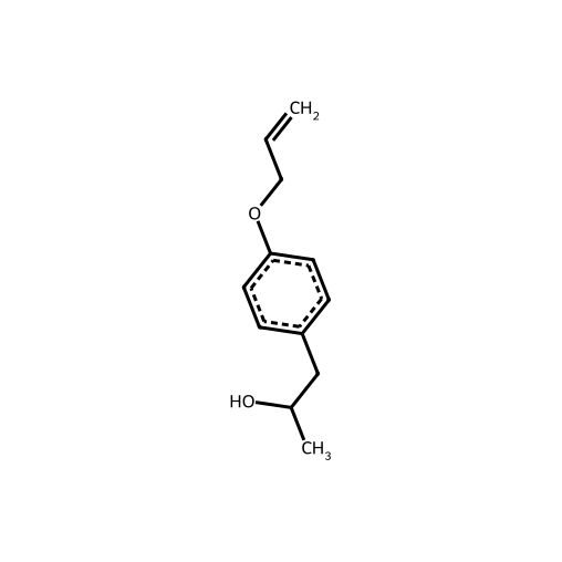 C=CCOc1ccc(CC(C)O)cc1